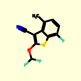 Cc1ccc(F)c2sc(OC(F)F)c(C#N)c12